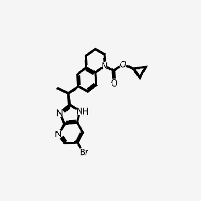 CC(c1ccc2c(c1)CCCN2C(=O)OC1CC1)c1nc2ncc(Br)cc2[nH]1